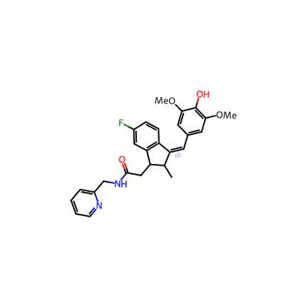 COc1cc(/C=C2\c3ccc(F)cc3C(CC(=O)NCc3ccccn3)C2C)cc(OC)c1O